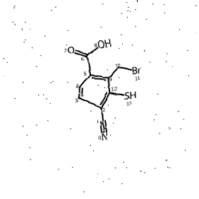 N#Cc1ccc(C(=O)O)c(CBr)c1S